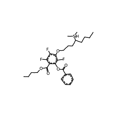 CCCCOC(=O)c1c(F)c(F)c(OCCCC(CCCC)[SiH](C)C)c(F)c1OC(=O)c1ccccc1